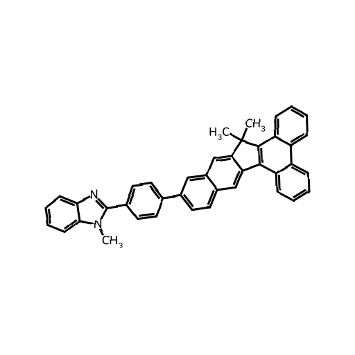 Cn1c(-c2ccc(-c3ccc4cc5c(cc4c3)C(C)(C)c3c-5c4ccccc4c4ccccc34)cc2)nc2ccccc21